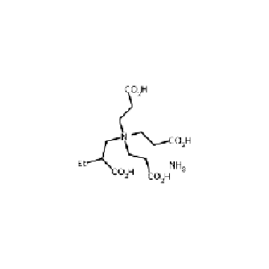 CCC(C[N+](CCC(=O)O)(CCC(=O)O)CCC(=O)O)C(=O)O.N